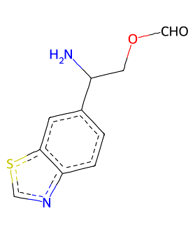 NC(COC=O)c1ccc2ncsc2c1